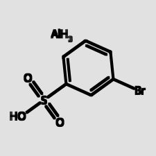 O=S(=O)(O)c1cccc(Br)c1.[AlH3]